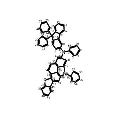 c1ccc(N(c2ccc3c(c2)-c2ccccc2C3(c2ccccc2)c2ccccc2)c2cc3ccc4c5sc6ccccc6c5cc5c4c3c(c2)n5-c2ccccc2)cc1